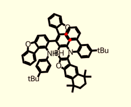 CC(C)(C)c1ccc(Nc2c(-c3c4c(cc5oc6ccccc6c35)N(c3ccc(C(C)(C)C)cc3-c3ccccc3)c3c(oc5cc6c(cc35)C(C)(C)CCC6(C)C)B4)ccc3oc4ccccc4c23)cc1